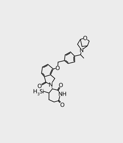 CC(c1ccc(COc2cccc3c2CN([C@@H]2C(=O)NC(=O)CCC2[SiH3])C3=O)cc1)N1CC2CC1CO2